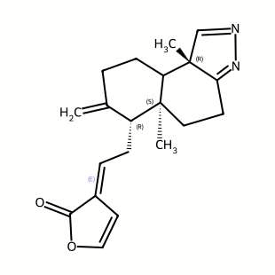 C=C1CCC2[C@]3(C)C=NN=C3CC[C@@]2(C)[C@@H]1C/C=C1\C=COC1=O